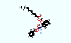 CCCCCCCC(=O)OCOC12CC3CC(CC(NC(=O)OCc4ccccc4)(C3)C1)C2